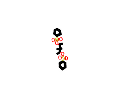 CC(OS(=O)(=O)c1ccccc1)C(C)(C)C(C)OS(=O)(=O)c1ccccc1